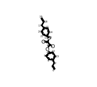 C=CCc1ccc(OC(=O)C(=O)Oc2ccc(CC=C)cc2)cc1